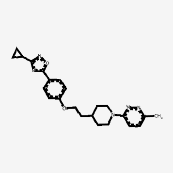 Cc1ccc(N2CCC(CCOc3ccc(-c4nc(C5CC5)no4)cc3)CC2)nn1